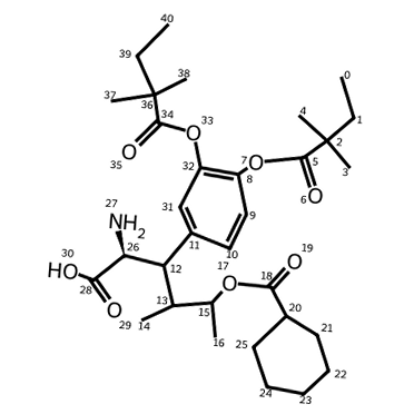 CCC(C)(C)C(=O)Oc1ccc(C(C(C)C(C)OC(=O)C2CCCCC2)[C@H](N)C(=O)O)cc1OC(=O)C(C)(C)CC